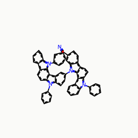 N#Cc1ccc2c3ccc4c(c5ccccc5n4-c4ccccc4)c3n(-c3ccc4c(c3)c3c(ccc5c6ccccc6n(-c6ccccc6)c53)n4-c3ccccc3)c2c1